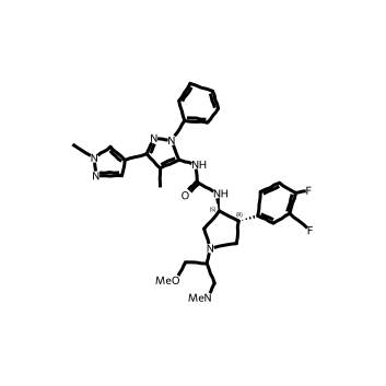 CNCC(COC)N1C[C@@H](NC(=O)Nc2c(C)c(-c3cnn(C)c3)nn2-c2ccccc2)[C@H](c2ccc(F)c(F)c2)C1